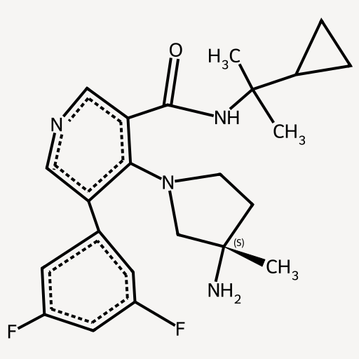 CC(C)(NC(=O)c1cncc(-c2cc(F)cc(F)c2)c1N1CC[C@](C)(N)C1)C1CC1